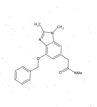 CNC(=O)Cc1cc(OCc2ccccc2)c2nc(C)n(C)c2c1